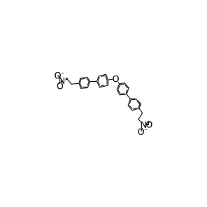 O=[N+]([O-])CCc1ccc(-c2ccc(Oc3ccc(-c4ccc(CC[N+](=O)[O-])cc4)cc3)cc2)cc1